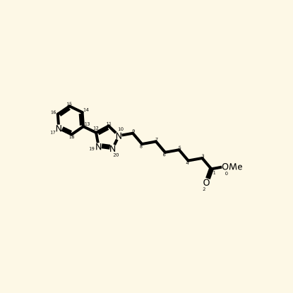 COC(=O)CCCCCCCn1cc(-c2cccnc2)nn1